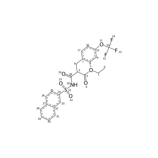 CCOC(=O)C(Cc1ccc(OC(F)(F)F)cc1)C(=O)NS(=O)(=O)c1ccc2ccccc2c1